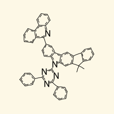 CC1(C)c2ccccc2-c2cc3c4cc(-c5nc6ccccc6c6ccccc56)ccc4n(-c4nc(-c5ccccc5)nc(-c5ccccc5)n4)c3cc21